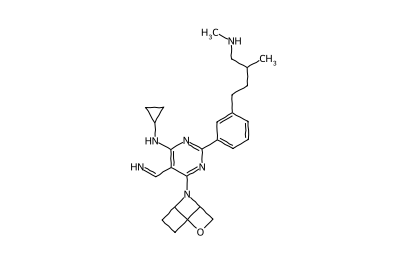 CNCC(C)CCc1cccc(-c2nc(NC3CC3)c(C=N)c(N3C4CCC45OCC35)n2)c1